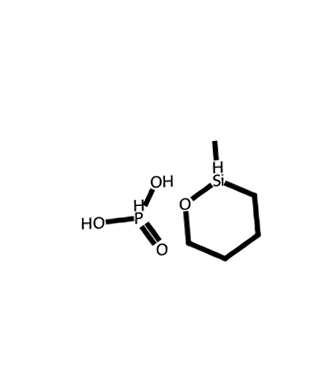 C[SiH]1CCCCO1.O=[PH](O)O